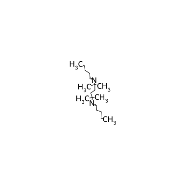 CCCCC=NC(C)(C)CCC(C)(C)N=CCCCC